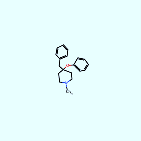 CN1CCC(Cc2ccccc2)(Oc2ccccc2)CC1